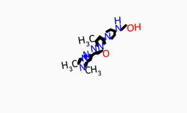 Cc1cn2nc(-c3cc(=O)n4cc(N5CCC(NCCO)CC5)cc(C)c4n3)cc2c(C)n1